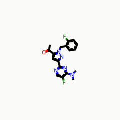 CC(=O)c1cc(-c2ncc(F)c(N(C)C)n2)nn1Cc1ccccc1F